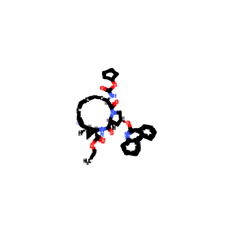 CCOC(=O)[C@@]12C[C@H]1/C=C\CCCCC[C@H](NC(=O)OC1CCCC1)C(=O)N1C[C@H](Oc3nc4ccccc4c4ccccc34)C[C@H]1C(=O)N2